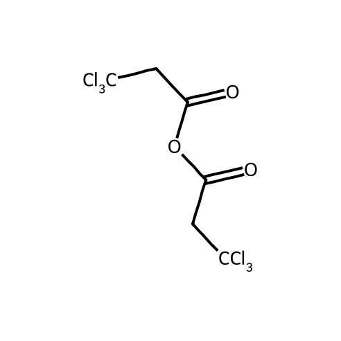 O=C(CC(Cl)(Cl)Cl)OC(=O)CC(Cl)(Cl)Cl